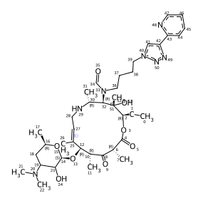 CC[C@H]1OC(=O)[C@H](C)C(=O)[C@H](C)[C@@H](O[C@@H]2O[C@H](C)CC(N(C)C)C2O)/C(C)=C/CN[C@H](C)[C@@H](N(C=O)CCCCn2cc(-c3ccccn3)nn2)[C@]1(C)O